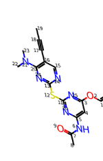 C=COc1cc(NC(C)=O)nc(Sc2ncc(C#CC)c(N(C)C)n2)n1